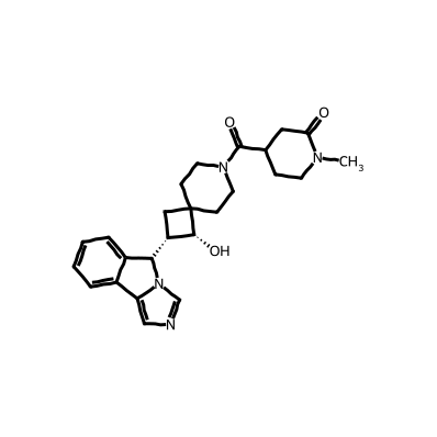 CN1CCC(C(=O)N2CCC3(CC2)C[C@@H](C2c4ccccc4-c4cncn42)[C@H]3O)CC1=O